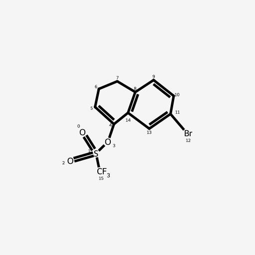 O=S(=O)(OC1=CCCc2ccc(Br)cc21)C(F)(F)F